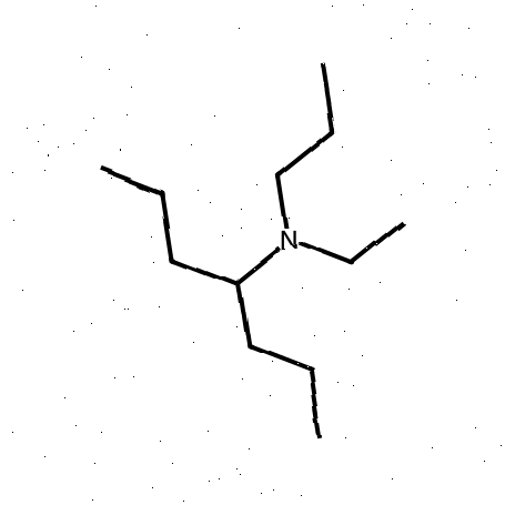 CCCC(CCC)N(CC)CCC